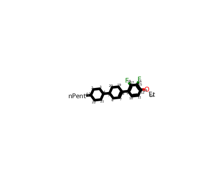 CCCCCC1CCC(C2CC=C(c3ccc(OCC)c(F)c3F)CC2)CC1